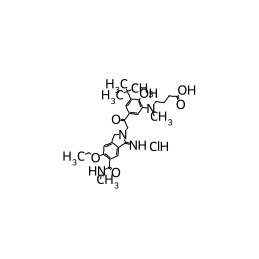 CCOc1cc2c(cc1C(=O)NC)C(=N)N(CC(=O)c1cc(N(C)CCCC(=O)O)c(O)c(C(C)(C)C)c1)C2.Cl